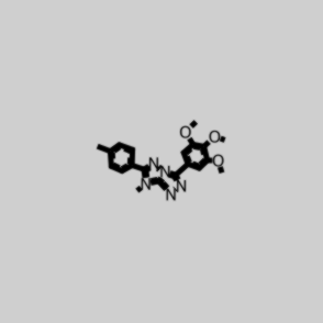 COc1cc(-c2nnc3n(C)c(-c4ccc(C)cc4)nn23)cc(OC)c1OC